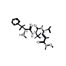 CN[C@H](C(=O)N[C@H](C(=O)N(C)[C@H](/C=C(\C)C(=O)N(C)OC)C(C)C)C(C)(C)C)C(C)(C)c1ccccc1